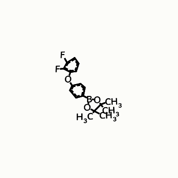 CC1(C)OB(c2ccc(Oc3cccc(F)c3F)cc2)OC1(C)C